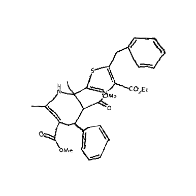 CCOC(=O)c1nc(C2(C)NC(C)=C(C(=O)OC)C(c3ccccc3)C2C(=O)OC)sc1Cc1ccccc1